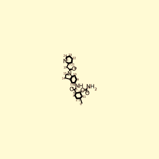 Cc1ccc(C(=O)Nc2ccc3c(c2)CCN3C(=O)Cc2ccccn2)c(OC(N)=O)c1